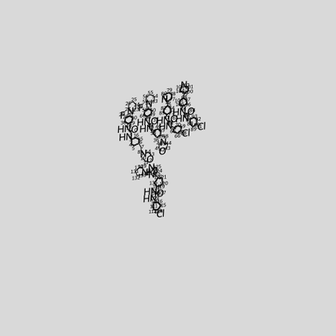 O=C(Nc1ccc(CCN2CCOCC2)cc1)Nc1ccc(N2CCCCC2)c(F)c1.O=C(Nc1ccc(CN2CCOCC2)cc1)Nc1ccc(N2CCCCC2)c(F)c1.O=C(Nc1ccc(Cl)cc1)Nc1ccc(-c2ccccn2)cc1.O=C(Nc1ccc(Cl)cc1)Nc1ccc(-c2ccncc2)cc1.O=C(Nc1ccc(Cl)cc1)Nc1cccc(-c2ccnc(N3CCCCC3)n2)c1